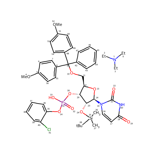 CCN(CC)CC.COc1ccc(C(OC[C@H]2O[C@@H](n3ccc(=O)[nH]c3=O)[C@H](O[Si](C)(C)C(C)(C)C)[C@@H]2OP(=O)(O)Oc2ccccc2Cl)(c2ccccc2)c2ccc(OC)cc2)cc1